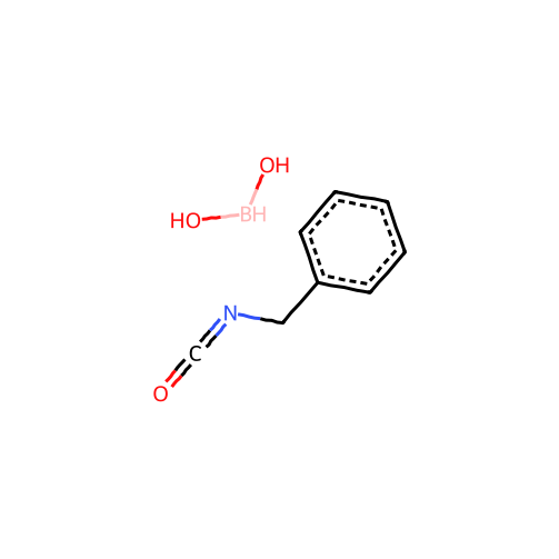 O=C=NCc1ccccc1.OBO